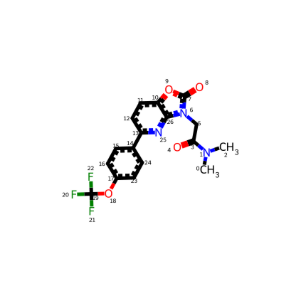 CN(C)C(=O)Cn1c(=O)oc2ccc(-c3ccc(OC(F)(F)F)cc3)nc21